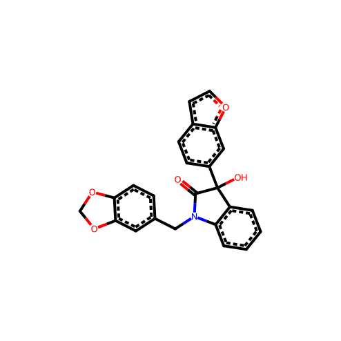 O=C1N(Cc2ccc3c(c2)OCO3)c2ccccc2C1(O)c1ccc2ccoc2c1